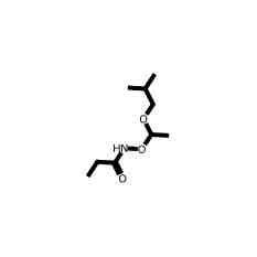 CCC(=O)NOC(C)OCC(C)C